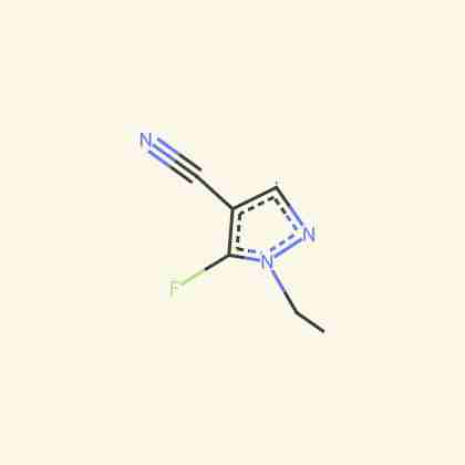 CCn1n[c]c(C#N)c1F